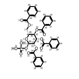 O=C(OC[C@H]1O[C@H](OP(=O)(O)O)[C@@H](OC(=O)c2ccccc2)[C@@H](OC(=O)c2ccccc2)[C@@H]1OC(=O)c1ccccc1)c1ccccc1